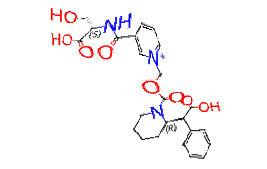 O=C(N[C@@H](CO)C(=O)O)c1ccc[n+](COC(=O)N2CCCC[C@@H]2C(C(=O)O)c2ccccc2)c1